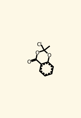 CC1(Cl)OC(=O)c2ccccc2O1